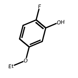 CCOc1ccc(F)c(O)c1